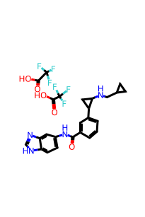 O=C(Nc1ccc2[nH]cnc2c1)c1cccc(C2CC2NCC2CC2)c1.O=C(O)C(F)(F)F.O=C(O)C(F)(F)F